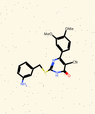 COc1ccc(-c2nc(SCc3cccc(N)c3)[nH]c(=O)c2C#N)cc1OC